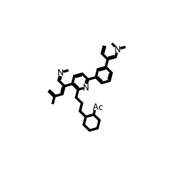 C=C/C(=C\N(C)C)c1cccc(-c2ccc(C(/C=N\C)=C/C(=C)C)c(CCCC3CCCCC3C(C)=O)n2)c1